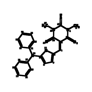 CN1C(=O)C(=Cc2ccc(N(c3ccccc3)c3ccccc3)o2)C(=O)N(C)C1=S